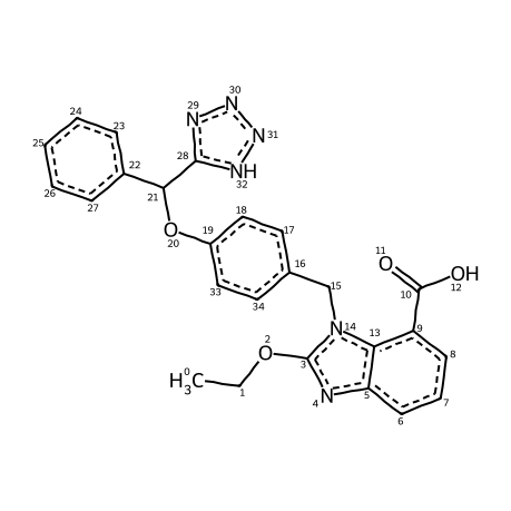 CCOc1nc2cccc(C(=O)O)c2n1Cc1ccc(OC(c2ccccc2)c2nnn[nH]2)cc1